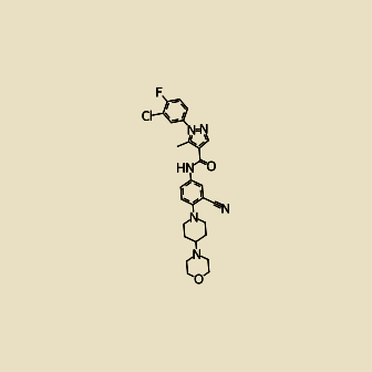 Cc1c(C(=O)Nc2ccc(N3CCC(N4CCOCC4)CC3)c(C#N)c2)cnn1-c1ccc(F)c(Cl)c1